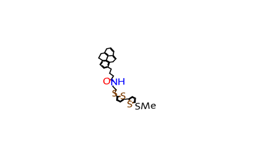 CSc1ccc(-c2ccc(SCCNC(=O)CCCc3ccc4c5c3CC=C3C=CCC(=C35)CC4)s2)s1